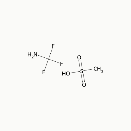 CS(=O)(=O)O.NC(F)(F)F